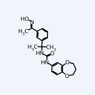 C/C(=N\O)c1cccc(C(C)(C)NC(=O)Nc2ccc3c(c2)OCCCO3)c1